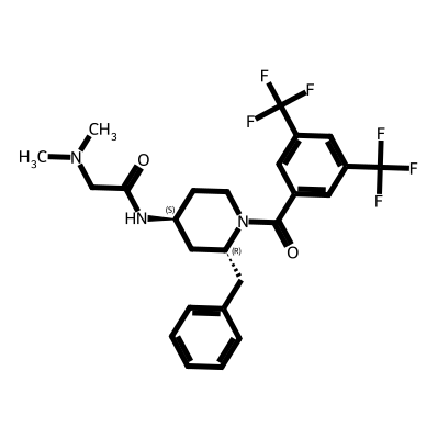 CN(C)CC(=O)N[C@H]1CCN(C(=O)c2cc(C(F)(F)F)cc(C(F)(F)F)c2)[C@H](Cc2ccccc2)C1